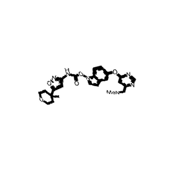 CNCc1cc(Oc2ccc3c(ccn3OC(=O)Nc3cc(C4(C)CCOCC4)on3)c2)ncn1